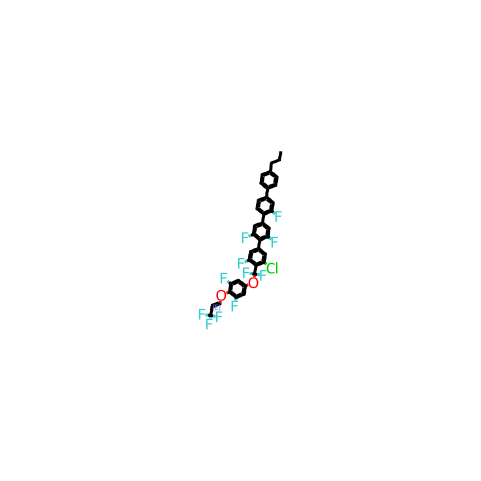 CCCc1ccc(-c2ccc(-c3cc(F)c(-c4cc(F)c(C(F)(F)Oc5cc(F)c(O/C=C/C(F)(F)F)c(F)c5)c(Cl)c4)c(F)c3)c(F)c2)cc1